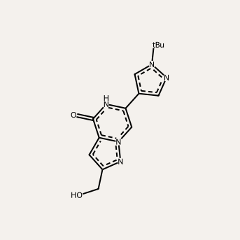 CC(C)(C)n1cc(-c2cn3nc(CO)cc3c(=O)[nH]2)cn1